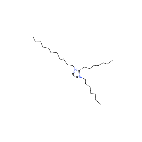 CCCCCCCCCCC[n+]1ccn(CCCCCCC)c1CCCCCCC